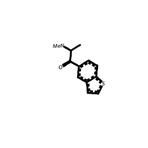 CNC(C)C(=O)c1ccc2sccc2c1